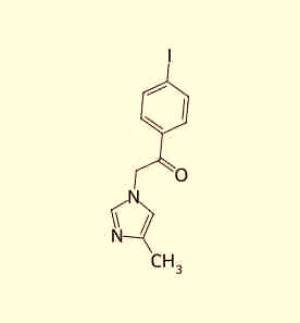 Cc1cn(CC(=O)c2ccc(I)cc2)cn1